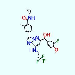 COc1ccc(C(O)c2cc(NCCC(F)(F)F)c3ncc(-c4ccc(C(=O)NC5CC5)c(C)c4)n3n2)cc1F